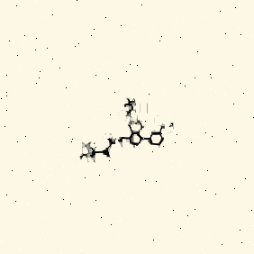 COC(=O)c1cccc(-c2ccc(CNC(=O)C3CC3c3nc(C)no3)c3c2CCN(C(=O)NC(C)(C)C)C3)c1